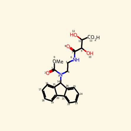 COC(=O)N(CCNC(=O)C(O)C(O)C(=O)O)C1c2ccccc2-c2ccccc21